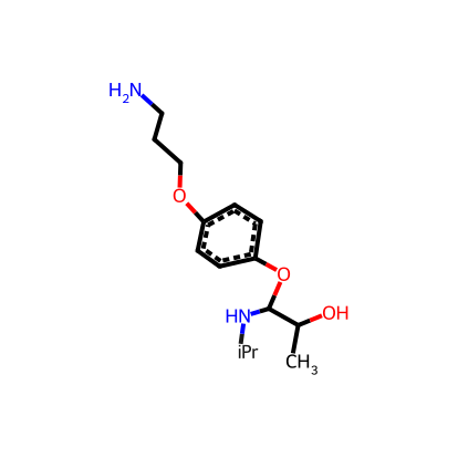 CC(C)NC(Oc1ccc(OCCCN)cc1)C(C)O